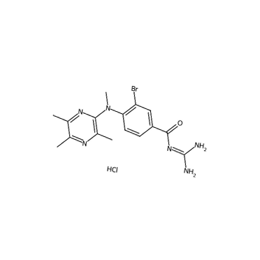 Cc1nc(C)c(N(C)c2ccc(C(=O)N=C(N)N)cc2Br)nc1C.Cl